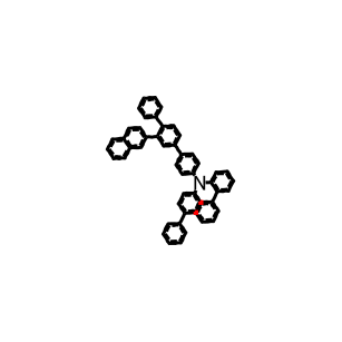 c1ccc(-c2ccc(N(c3ccc(-c4ccc(-c5ccccc5)c(-c5ccc6ccccc6c5)c4)cc3)c3ccccc3-c3ccccc3)cc2)cc1